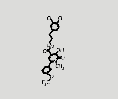 Cn1c(-c2cccc(OC(F)(F)F)c2)cc(C(=O)NCCCc2ccc(Cl)c(Cl)c2)c(O)c1=O